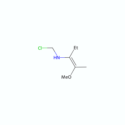 CC/C(NCCl)=C(\C)OC